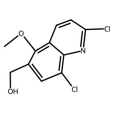 COc1c(CO)cc(Cl)c2nc(Cl)ccc12